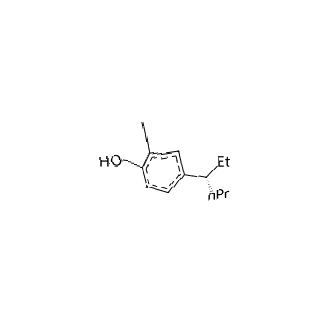 CCC[C@@H](CC)c1ccc(O)c(C)c1